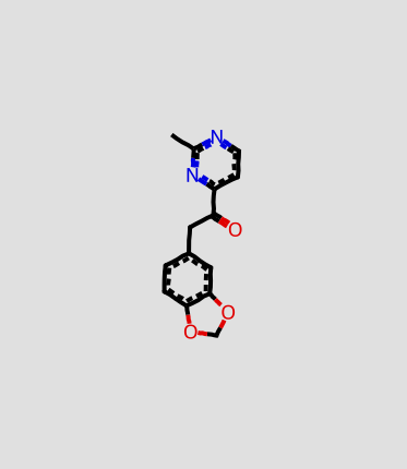 Cc1nccc(C(=O)Cc2ccc3c(c2)OCO3)n1